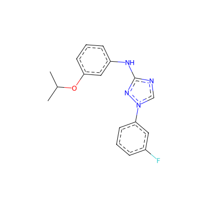 CC(C)Oc1cccc(Nc2ncn(-c3cccc(F)c3)n2)c1